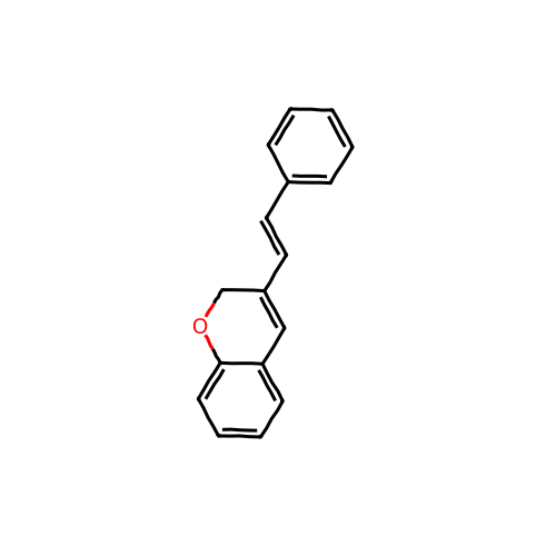 C1=C(/C=C/c2ccccc2)COc2ccccc21